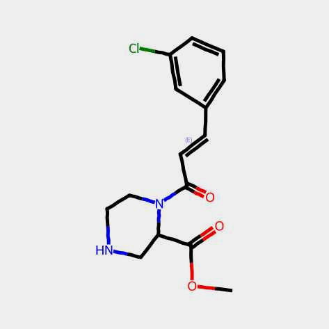 COC(=O)C1CNCCN1C(=O)/C=C/c1cccc(Cl)c1